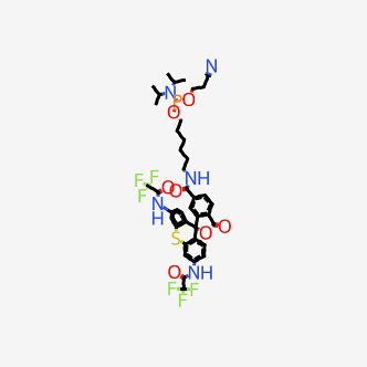 CC(C)N(C(C)C)P(OCCC#N)OCCCCCCNC(=O)c1ccc2c(c1)C1(OC2=O)c2ccc(NC(=O)C(F)(F)F)cc2Sc2cc(NC(=O)C(F)(F)F)ccc21